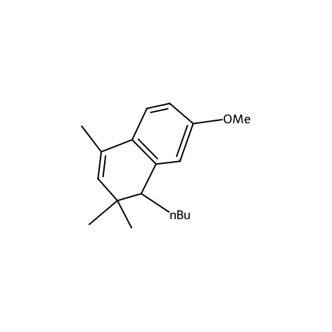 CCCCC1c2cc(OC)ccc2C(C)=CC1(C)C